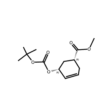 COC(=O)[C@@H]1CC=C[C@H](OC(=O)OC(C)(C)C)C1